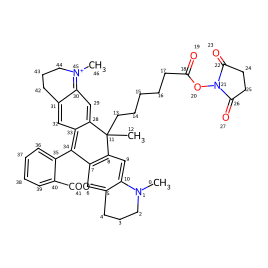 CN1CCCc2cc3c(cc21)C(C)(CCCCCC(=O)ON1C(=O)CCC1=O)c1cc2c(cc1=C3c1ccccc1C(=O)[O-])CCC[N+]=2C